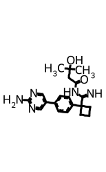 CC(C)(O)CC(=O)NC(=N)C1(c2ccc(-c3cnc(N)nc3)cc2)CCC1